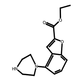 CCOC(=O)c1cc2c(N3CCNCC3)cccc2o1